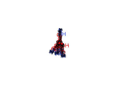 CC(CCNC(=O)OCCOCCC[SiH](C)O[Si](C)(CCCOCCOC(=O)NCCC(C)N1CC1)O[Si](C)(CCCOCCOC(=O)NCCC(C)N1CC1)O[Si](C)(O)CCCOCCOC(=O)NCCC(C)N1CC1)N1CC1